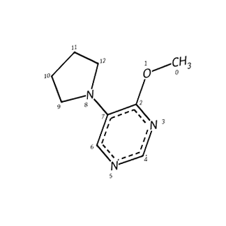 COc1n[c]ncc1N1CCCC1